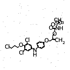 C=C(COC(=O)NS(C)(=O)=O)COc1ccc(Nc2cc(Cl)c(OCCCCl)c(Cl)c2)cc1